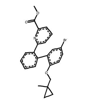 COC(=O)c1cccc(-c2ccccc2-c2cc(Br)ccc2OCC2(C)CC2)n1